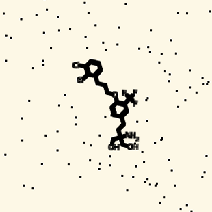 NC(CO)(CO)CCc1ccc(OCCCc2cccc(Cl)c2Cl)c(C(F)(F)F)c1